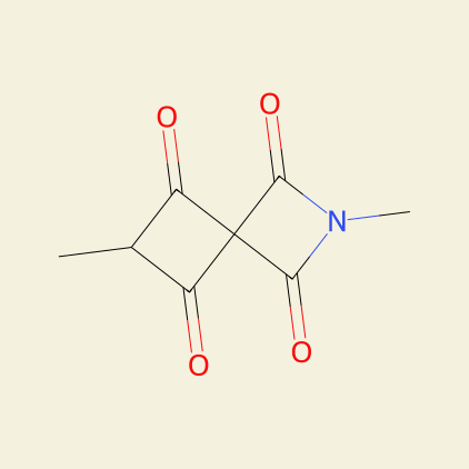 CC1C(=O)C2(C1=O)C(=O)N(C)C2=O